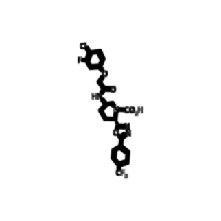 O=C(COc1ccc(Cl)c(F)c1)NC1CC[C@H](c2nnc(-c3ccc(C(F)(F)F)cc3)o2)N(C(=O)O)C1